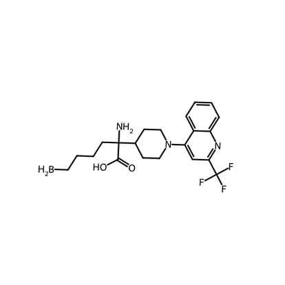 BCCCCC(N)(C(=O)O)C1CCN(c2cc(C(F)(F)F)nc3ccccc23)CC1